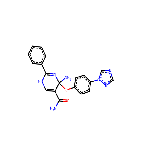 NC(=O)C1=CNC(c2ccccc2)=NC1(N)Oc1ccc(-n2cncn2)cc1